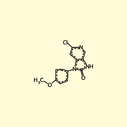 COc1ccc(-n2c(=O)[nH]c3cnc(Cl)cc32)cc1